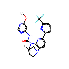 COc1cc(NC(=O)N2c3nc(-c4cccc(C(F)(F)F)n4)ccc3N3CC[C@H]2C3)ncn1